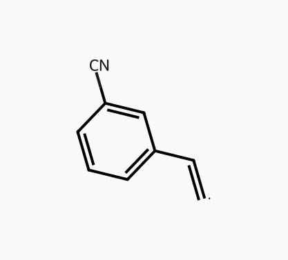 [CH]=Cc1cccc(C#N)c1